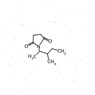 CCC(C)C(C)N1C(=O)CCC1=O